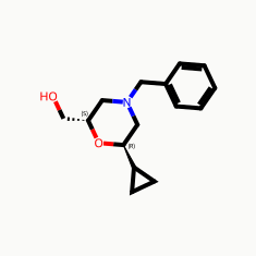 OC[C@@H]1CN(Cc2ccccc2)C[C@@H](C2CC2)O1